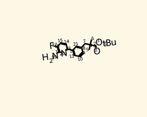 CC(C)(C)OC(=O)C(C)(C)Cc1c#ccc(-c2ccc(F)c(N)n2)c1